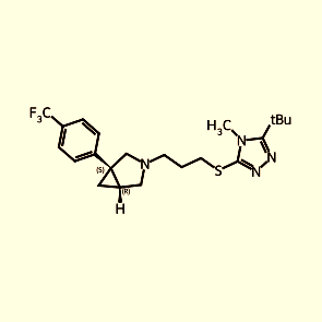 Cn1c(SCCCN2C[C@@H]3C[C@]3(c3ccc(C(F)(F)F)cc3)C2)nnc1C(C)(C)C